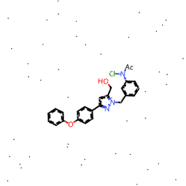 CC(=O)N(Cl)c1cccc(Cn2nc(-c3ccc(Oc4ccccc4)cc3)cc2CO)c1